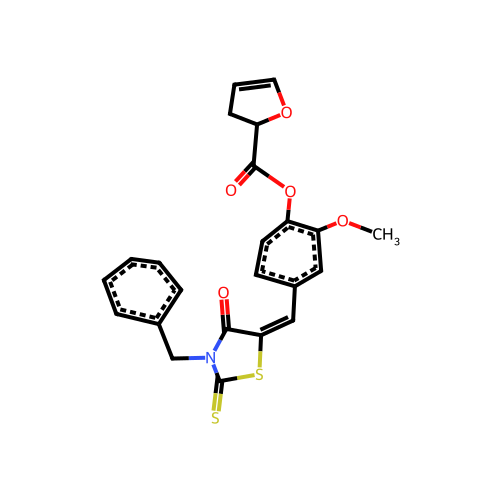 COc1cc(/C=C2/SC(=S)N(Cc3ccccc3)C2=O)ccc1OC(=O)C1CC=CO1